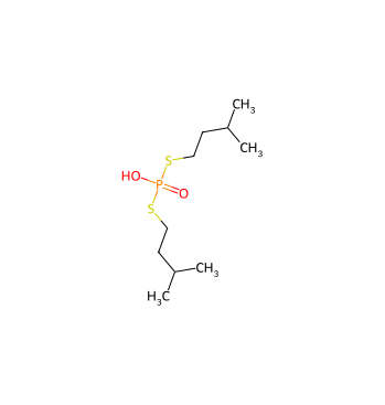 CC(C)CCSP(=O)(O)SCCC(C)C